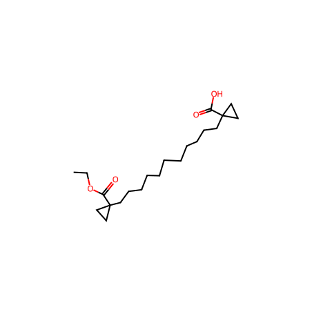 CCOC(=O)C1(CCCCCCCCCCCC2(C(=O)O)CC2)CC1